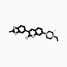 CCN1CCN(c2ccc3cc(-c4ccc5nc(C)sc5c4)c(=O)oc3c2)C[C@@H]1C